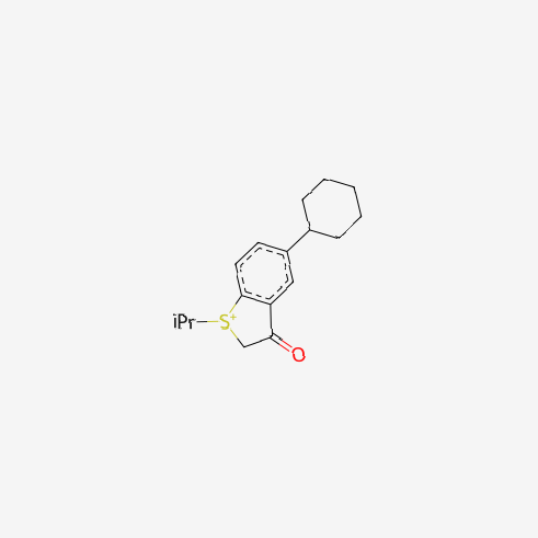 CC(C)[S+]1CC(=O)c2cc(C3CCCCC3)ccc21